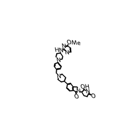 COc1ccnc(NC2CCN(c3ccc(CN4CCC(c5ccc6c(c5)CN(C5CCC(=O)NC5=O)C6=O)CC4)cc3)CC2)n1